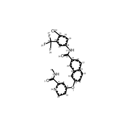 CNC(=O)c1cc(Oc2ccc3ccc(C(=O)Nc4ccc(Cl)c(C(F)(F)F)c4)cc3c2)ccn1